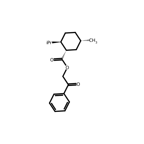 CC(C)[C@H]1CC[C@H](C)C[C@@H]1C(=O)OCC(=O)c1ccccc1